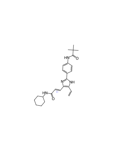 C=Cc1[nH]c(-c2ccc(NC(=O)C(C)(C)C)cc2)nc1/C=C/C(=O)NC1CCCCC1